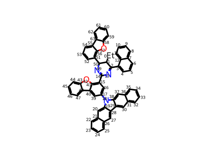 CCC1C(c2cccc3ccccc23)=NC(c2cc(-n3c4cc5ccccc5cc4c4cc5ccccc5cc43)cc3c2oc2ccccc23)=NC1c1cccc2c1oc1ccccc12